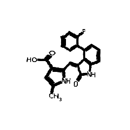 Cc1cc(C(=O)O)c(C=C2C(=O)Nc3cccc(-c4ccccc4F)c32)[nH]1